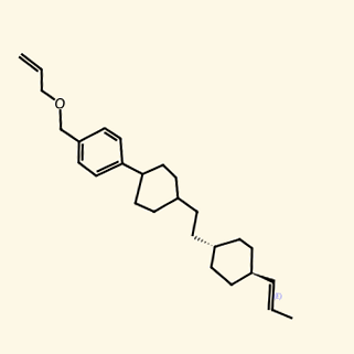 C=CCOCc1ccc(C2CCC(CC[C@H]3CC[C@H](/C=C/C)CC3)CC2)cc1